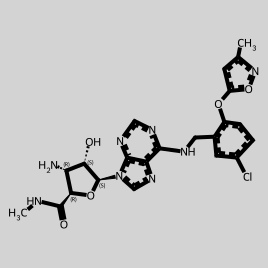 CNC(=O)[C@@H]1O[C@H](n2cnc3c(NCc4cc(Cl)ccc4Oc4cc(C)no4)ncnc32)[C@@H](O)[C@H]1N